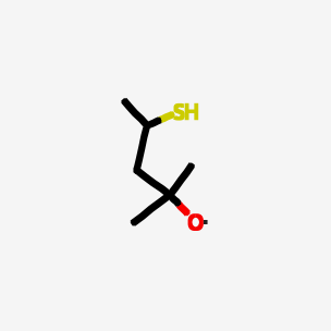 CC(S)CC(C)(C)[O]